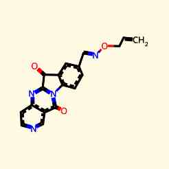 C=CCO/N=C/c1ccc2c(c1)C(=O)c1nc3ccncc3c(=O)n1-2